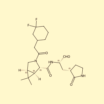 CC1(C)[C@@H]2[C@@H](C(=O)N[C@H](C=O)C[C@@H]3CCNC3=O)N(C(=O)CC3CCCC(F)(F)C3)C[C@@H]21